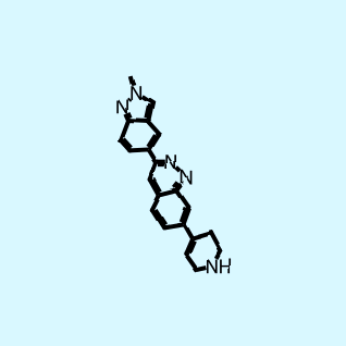 Cn1cc2cc(-c3cc4ccc(C5=CCNCC5)cc4nn3)ccc2n1